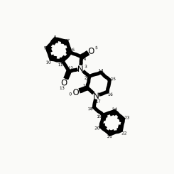 O=C1C(N2C(=O)c3ccccc3C2=O)CCCN1Cc1ccccc1